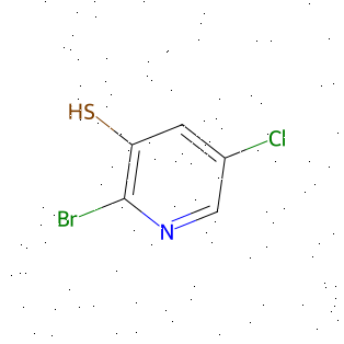 Sc1cc(Cl)cnc1Br